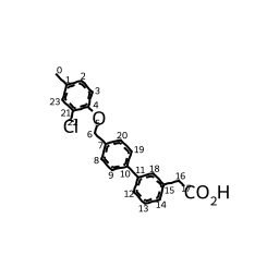 Cc1ccc(OCc2ccc(-c3cccc(CC(=O)O)c3)cc2)c(Cl)c1